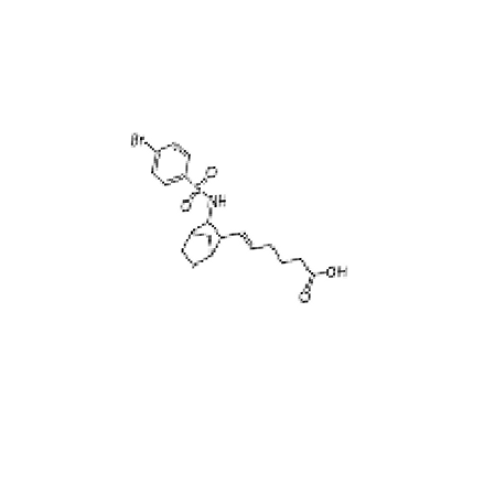 O=C(O)CCCC=CC1C2CCC(C2)C1NS(=O)(=O)c1ccc(Br)cc1